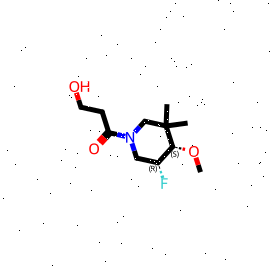 CO[C@@H]1[C@H](F)CN(C(=O)CCO)CC1(C)C